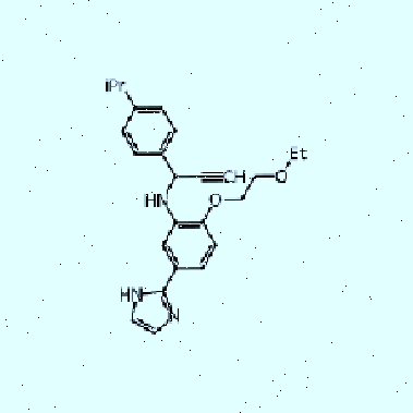 C#CC(Nc1cc(-c2ncc[nH]2)ccc1OCCOCC)c1ccc(C(C)C)cc1